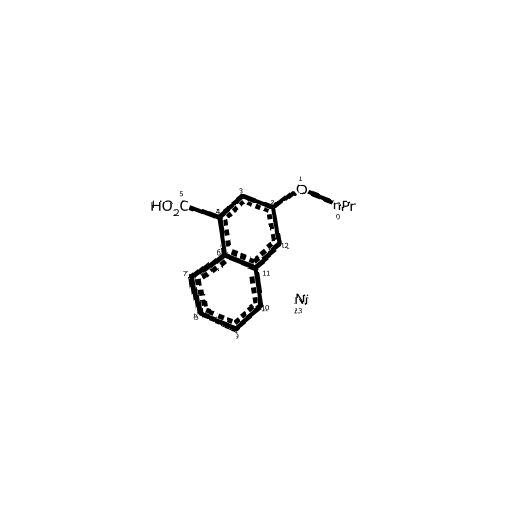 CCCOc1cc(C(=O)O)c2ccccc2c1.[Ni]